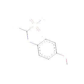 CC(Nc1ccc(OC(F)(F)F)cc1)S(N)(=O)=O